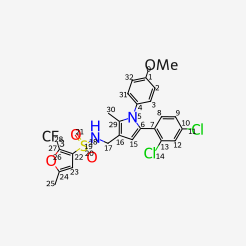 COc1ccc(-n2c(-c3ccc(Cl)cc3Cl)cc(CNS(=O)(=O)c3cc(C)oc3C(F)(F)F)c2C)cc1